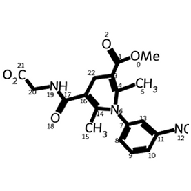 COC(=O)C1=C(C)N(c2cccc([N+](=O)[O-])c2)C(C)=C(C(=O)NCC(=O)O)C1